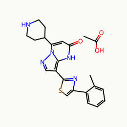 CC(=O)O.Cc1ccccc1-c1csc(-c2cnn3c(C4CCNCC4)cc(=O)[nH]c23)n1